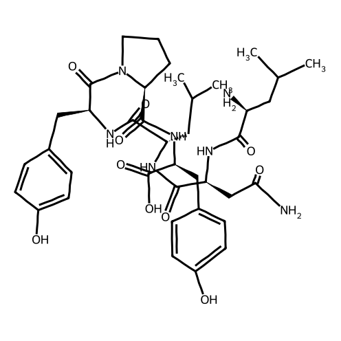 CC(C)C[C@H](NC(=O)[C@H](CC(N)=O)NC(=O)[C@@H](N)CC(C)C)C(=O)N[C@@H](Cc1ccc(O)cc1)C(=O)N1CCC[C@H]1C(=O)N[C@@H](Cc1ccc(O)cc1)C(=O)O